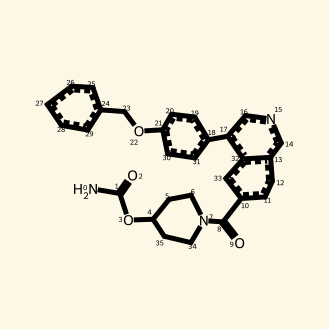 NC(=O)OC1CCN(C(=O)c2ccc3cncc(-c4ccc(OCc5ccccc5)cc4)c3c2)CC1